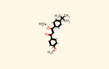 CBO/C(=C\C(=O)c1ccc(OC)cc1)c1ccc(C(C)(C)C)cc1